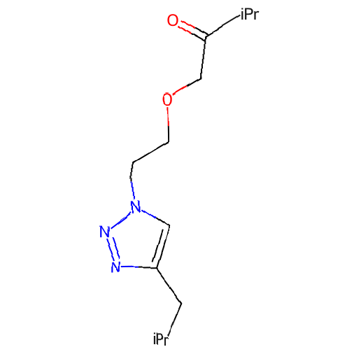 CC(C)Cc1cn(CCOCC(=O)C(C)C)nn1